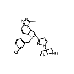 Cc1nnc2n1C1C=C(c3ccn(C4(CC#N)CNC4)n3)N(Cc3cccc(Cl)c3)C1C=C2